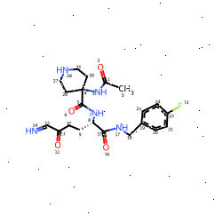 CC(=O)NC1(C(=O)N[C@@H](CCC(=O)C=N)C(=O)NCc2ccc(F)cc2)CCNCC1